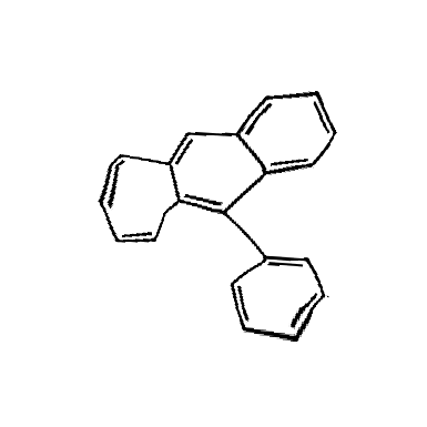 [c]1cccc(-c2c3ccccc3cc3ccccc23)c1